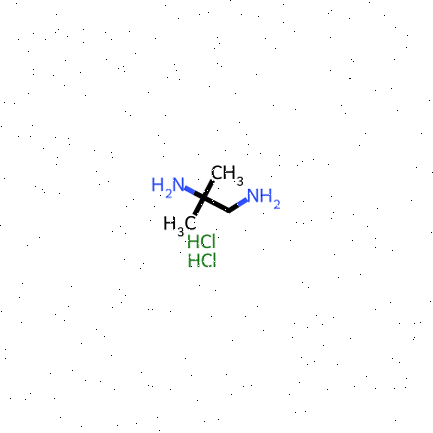 CC(C)(N)CN.Cl.Cl